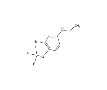 CCNc1ccc(OC(F)(F)F)c(Br)c1